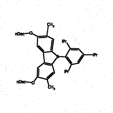 CCCCCCCCCCOc1cc2c(cc1C)B(c1c(C(C)C)cc(C(C)C)cc1C(C)C)c1cc(C)c(OCCCCCCCCCC)cc1-2